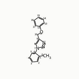 Cc1ccccc1-n1cc(COc2ccccc2)nn1